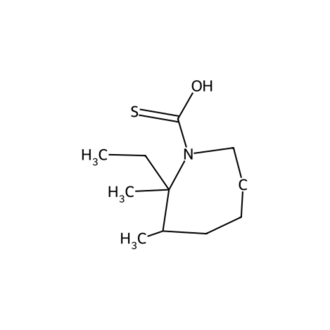 CCC1(C)C(C)CCCCN1C(O)=S